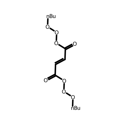 CCCCOOOC(=O)/C=C/C(=O)OOOCCCC